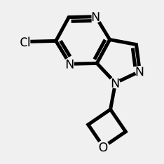 Clc1cnc2cnn(C3COC3)c2n1